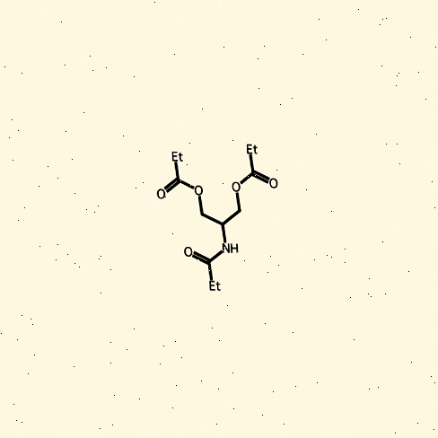 CCC(=O)NC(COC(=O)CC)COC(=O)CC